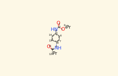 CC(C)OC(=O)Nc1ccc(NC(=O)C(C)C)cc1